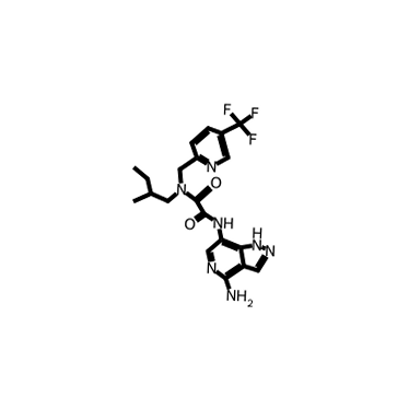 CCC(C)CN(Cc1ccc(C(F)(F)F)cn1)C(=O)C(=O)Nc1cnc(N)c2cn[nH]c12